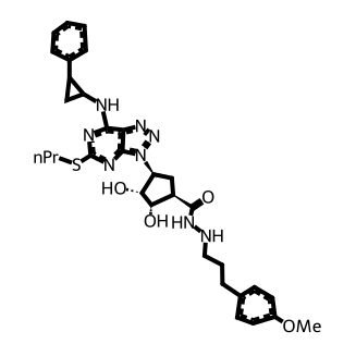 CCCSc1nc(NC2CC2c2ccccc2)c2nnn([C@H]3C[C@@H](C(=O)NNCCCc4ccc(OC)cc4)[C@H](O)[C@@H]3O)c2n1